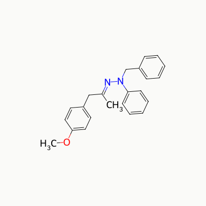 COc1ccc(C/C(C)=N/N(Cc2ccccc2)c2ccccc2)cc1